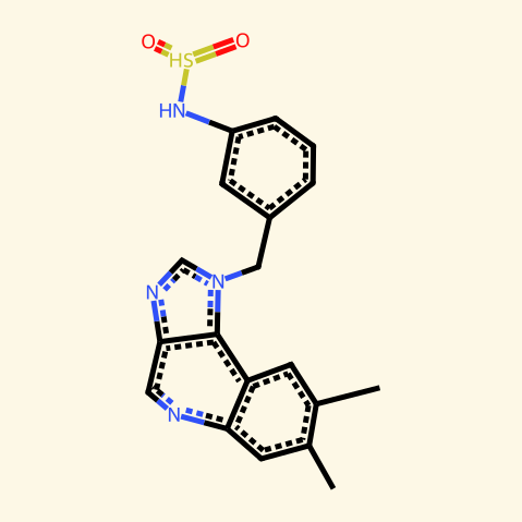 Cc1cc2ncc3ncn(Cc4cccc(N[SH](=O)=O)c4)c3c2cc1C